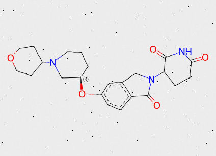 O=C1CCC(N2Cc3cc(O[C@@H]4CCCN(C5CCOCC5)C4)ccc3C2=O)C(=O)N1